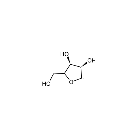 OCC1O[CH][C@H](O)[C@@H]1O